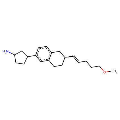 COCCC/C=C/[C@H]1CCc2cc(C3CCC(N)C3)ccc2C1